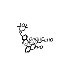 Cc1cccc(OC(O)(O)c2ccc(CN3CC(C)(C)OC(C)(C)C3)cc2F)c1CN(C=O)C(C=O)CCC=O